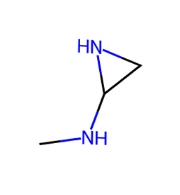 CNC1CN1